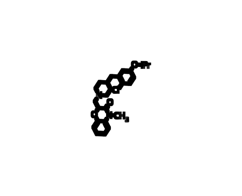 CC(C)Oc1ccc(Cl)c(CC2CCN(CC3Oc4ccccc4N(C)C3=O)CC2)c1